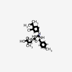 C=C(C)c1ccc(/N=C(/NCc2ccc(C)cc2)NC(=O)NC[C@H](C)C(=O)O)cc1Cl